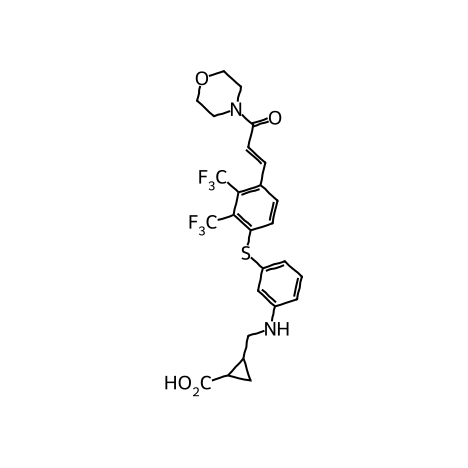 O=C(O)C1CC1CNc1cccc(Sc2ccc(/C=C/C(=O)N3CCOCC3)c(C(F)(F)F)c2C(F)(F)F)c1